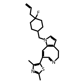 C=CCC1(F)CCC(Cn2ccc3c2/C=C(c2sc(C)nc2C)\C=N\CC3)CC1